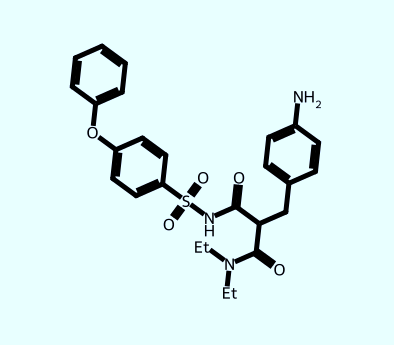 CCN(CC)C(=O)C(Cc1ccc(N)cc1)C(=O)NS(=O)(=O)c1ccc(Oc2ccccc2)cc1